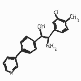 Cc1ccc(C(N)C(O)c2ccc(-c3cccnc3)cc2)cc1Cl